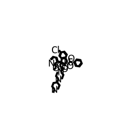 COc1ncccc1C1(OC(=O)N2CCN(C3CCN(C)CC3)CC2)C(=O)N(S(=O)(=O)c2ccccc2)c2ccc(Cl)cc21